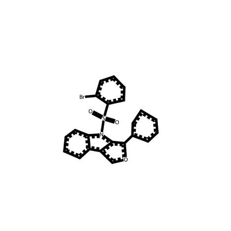 O=S(=O)(c1ccccc1Br)n1c2ccccc2c2coc(-c3ccccc3)c21